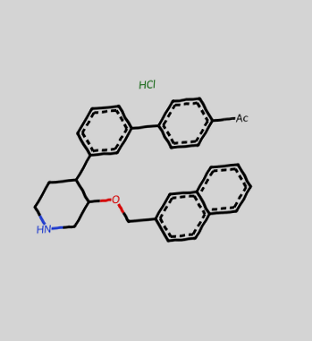 CC(=O)c1ccc(-c2cccc(C3CCNCC3OCc3ccc4ccccc4c3)c2)cc1.Cl